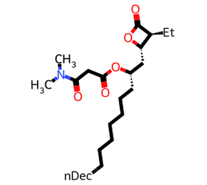 CCCCCCCCCCCCCCCCC[C@@H](C[C@@H]1OC(=O)[C@H]1CC)OC(=O)CC(=O)N(C)C